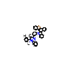 Cc1ccccc1-c1nc(-c2ccccc2)nc(C2=CC(n3c4ccccc4c4c5ccccc5c5sc6ccccc6c5c43)=CCC2)c1C